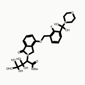 CNC(=O)C(N1Cc2c(OCc3cccc(C(O)(O)N4CCOCC4)c3F)cccc2C1=O)C(O)(O)C(O)(O)C=O